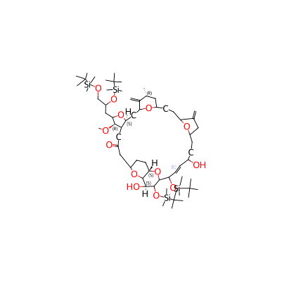 C=C1CC2CCC(O)/C=C/C(O[Si](C)(C)C(C)(C)C)C3O[C@H]4CCC(CC(=O)CC5[C@@H](OC)C(CC(CO[Si](C)(C)C(C)(C)C)O[Si](C)(C)C(C)(C)C)O[C@H]5CC5OC(CCC1O2)C[C@@H](C)C5=C)OC4[C@H](O)C3O[Si](C)(C)C(C)(C)C